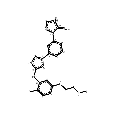 COCCOc1ccc(C)c(Nc2ncc(-c3cccc(-n4nc[nH]c4=O)c3)o2)c1